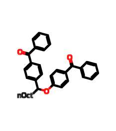 CCCCCCCCC(Oc1ccc(C(=O)c2ccccc2)cc1)c1ccc(C(=O)c2ccccc2)cc1